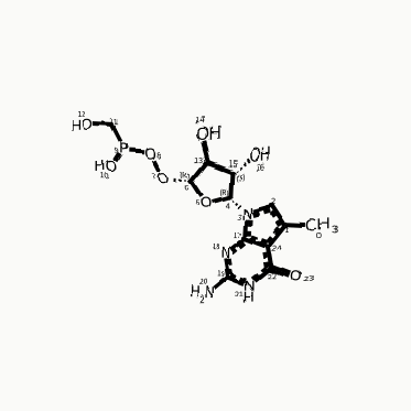 Cc1cn([C@@H]2O[C@H](OOP(O)CO)C(O)[C@@H]2O)c2nc(N)[nH]c(=O)c12